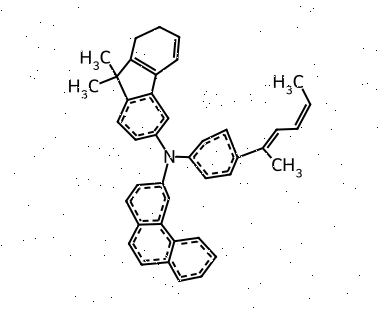 C/C=C\C=C(/C)c1ccc(N(c2ccc3c(c2)C2=C(CCC=C2)C3(C)C)c2ccc3ccc4ccccc4c3c2)cc1